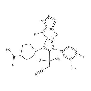 Cc1cc(-n2c(C(C)(C)CC#N)c(C3CCC(C(=O)O)CC3)c3c(F)c4[nH]ncc4cc32)ccc1F